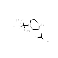 CC(C)(C)N1CCN[C@H](CC(N)=O)C1